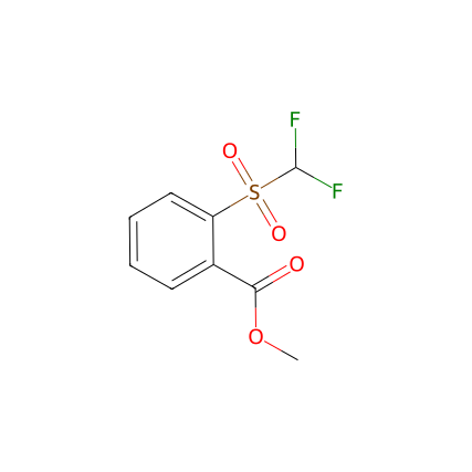 COC(=O)c1ccccc1S(=O)(=O)C(F)F